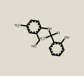 CCC(C)(Pc1ccc(C)cc1CO)c1ccccc1O